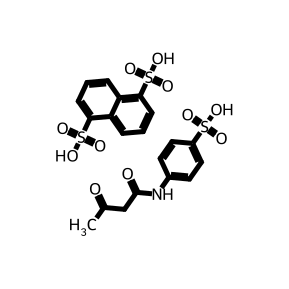 CC(=O)CC(=O)Nc1ccc(S(=O)(=O)O)cc1.O=S(=O)(O)c1cccc2c(S(=O)(=O)O)cccc12